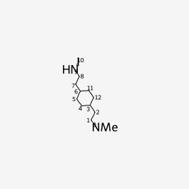 CNCCC1CCC(CCNI)CC1